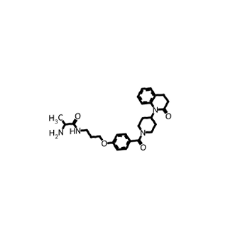 CC(N)C(=O)NCCCOc1ccc(C(=O)N2CCC(N3C(=O)CCc4ccccc43)CC2)cc1